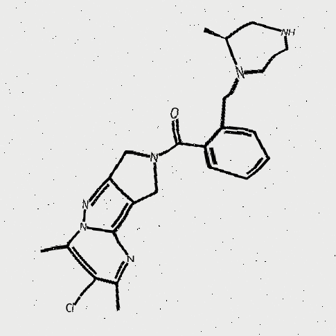 Cc1nc2c3c(nn2c(C)c1Cl)CN(C(=O)c1ccccc1CN1CCNC[C@@H]1C)C3